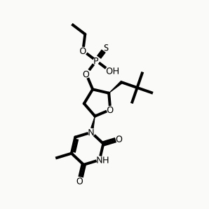 CCOP(O)(=S)OC1C[C@H](n2cc(C)c(=O)[nH]c2=O)O[C@@H]1CC(C)(C)C